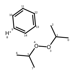 CC(C)OOC(C)C.[H+].c1ccccc1